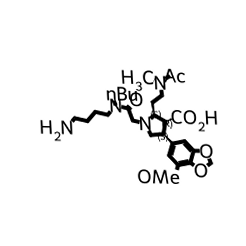 CCCCN(CCCCN)C(=O)CN1C[C@H](c2cc(OC)c3c(c2)OCO3)[C@@H](C(=O)O)[C@@H]1CCN(C)C(C)=O